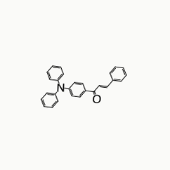 O=C(C=Cc1ccccc1)c1ccc(N(c2ccccc2)c2ccccc2)cc1